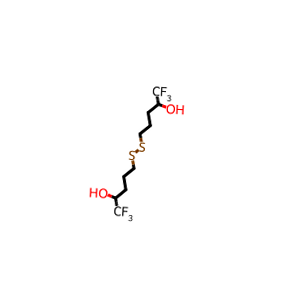 OC(CCCSSCCCC(O)C(F)(F)F)C(F)(F)F